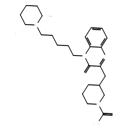 C[C@@H]1CCC[C@H](C)N1CCCCCn1c(=O)c(CC2CCCN(C(=N)N)C2)nc2ccccc21